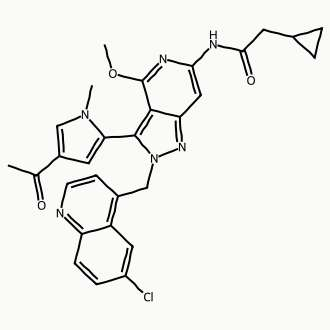 COc1nc(NC(=O)CC2CC2)cc2nn(Cc3ccnc4ccc(Cl)cc34)c(-c3cc(C(C)=O)cn3C)c12